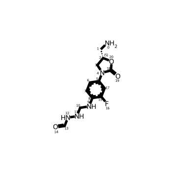 NC[C@H]1CN(c2ccc(NCNNC=O)c(F)c2)C(=O)O1